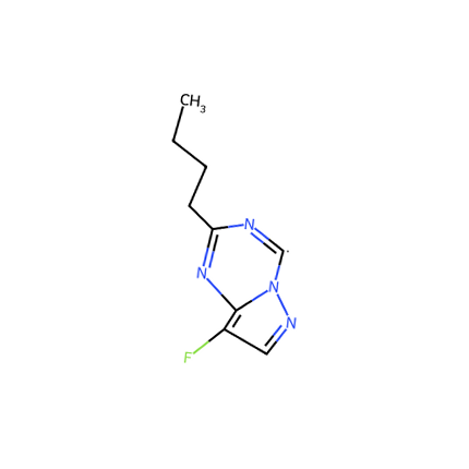 CCCCc1n[c]n2ncc(F)c2n1